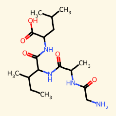 CCC(C)C(NC(=O)C(C)NC(=O)CN)C(=O)NC(CC(C)C)C(=O)O